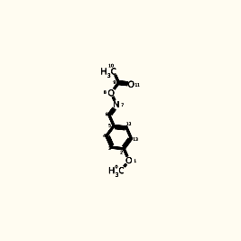 COc1ccc(/C=N/OC(C)=O)cc1